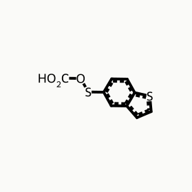 O=C(O)OSc1ccc2sccc2c1